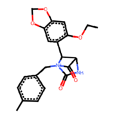 CCOc1cc2c(cc1C1C3NC(=O)[N+]1(Cc1ccc(C)cc1)C3=O)OCO2